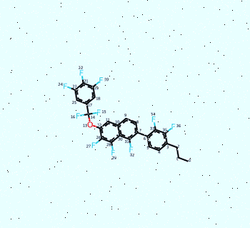 CCCc1ccc(-c2ccc3cc(OC(F)(F)c4cc(F)c(F)c(F)c4)c(F)c(F)c3c2F)c(F)c1F